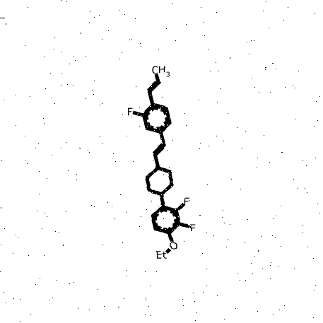 C/C=C/c1ccc(/C=C/C2CCC(c3ccc(OCC)c(F)c3F)CC2)cc1F